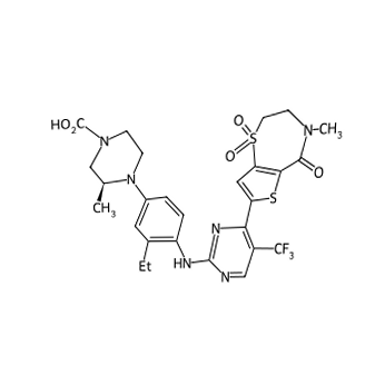 CCc1cc(N2CCN(C(=O)O)C[C@@H]2C)ccc1Nc1ncc(C(F)(F)F)c(-c2cc3c(s2)C(=O)N(C)CCS3(=O)=O)n1